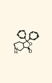 O=C1OC(c2ccccc2)(c2ccccc2)C2CCNCC12